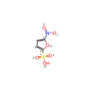 O=[N+]([O-])c1ccc(S(=O)(=O)O)o1